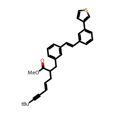 COC(=O)C(CC=CC#CC(C)(C)C)Cc1cccc(C=Cc2cccc(-c3ccsc3)c2)c1